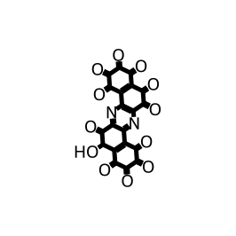 O=C1C(=O)c2c(c(=O)c(=O)c(=O)c2=O)-c2nc3c(nc21)-c1c(c(=O)c(=O)c(=O)c1=O)C(O)C3=O